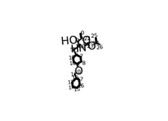 C=CC(O)C(Cc1ccc(OCc2ccccc2)cc1)NC(=O)OC(=C)C